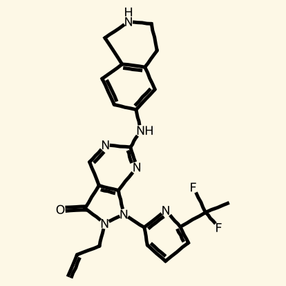 C=CCn1c(=O)c2cnc(Nc3ccc4c(c3)CCNC4)nc2n1-c1cccc(C(C)(F)F)n1